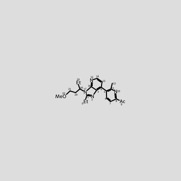 CCc1nc2c(-c3ccc(C(C)=O)nc3C)ccnc2n1C(CC)CCOC